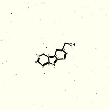 OCc1ccc2c(c1)=C1CN=CC=C1N=2